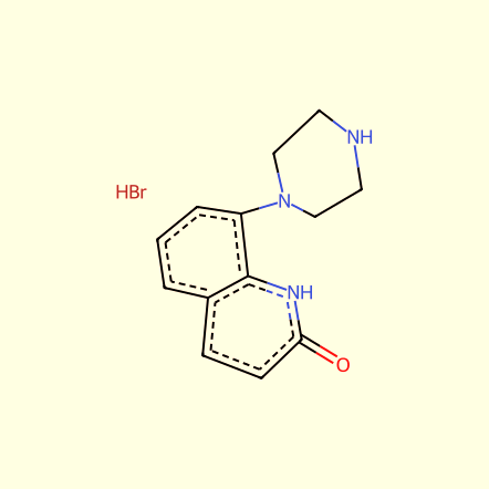 Br.O=c1ccc2cccc(N3CCNCC3)c2[nH]1